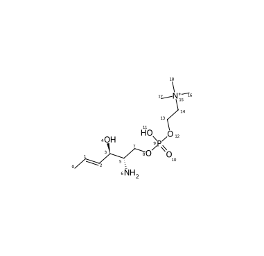 C/C=C/[C@@H](O)[C@@H](N)COP(=O)(O)OCC[N+](C)(C)C